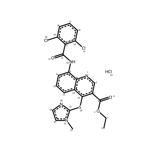 CCOC(=O)c1cnc2c(NC(=O)c3c(Cl)cccc3Cl)cccc2c1Sc1nccn1C.Cl